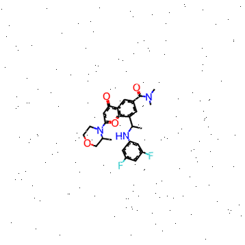 CC(Nc1cc(F)cc(F)c1)c1cc(C(=O)N(C)C)cc2c(=O)cc(N3CCOCC3C)oc12